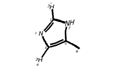 [2H]c1nc([2H])c(C)[nH]1